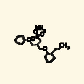 CC=Cc1ccccc1OCC(COc1ccccc1)CS(=O)(=O)ON